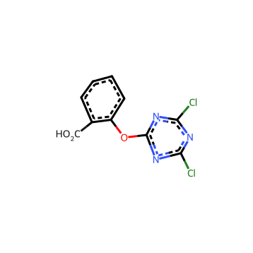 O=C(O)c1ccccc1Oc1nc(Cl)nc(Cl)n1